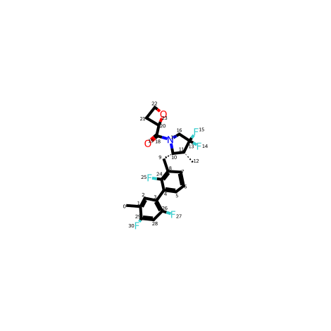 Cc1cc(-c2cccc(C[C@H]3[C@@H](C)C(F)(F)CN3C(=O)C3CCO3)c2F)c(F)cc1F